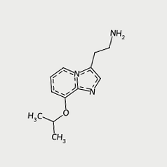 CC(C)Oc1cccn2c(CCN)cnc12